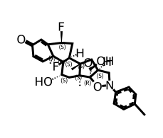 Cc1ccc(N2C[C@@H]3C[C@@]4(C)[C@@H]5C[C@H](F)C6=CC(=O)C=C[C@]6(C)[C@@]5(F)[C@@H](O)C[C@]4(C)[C@]3(C(=O)O)O2)cc1